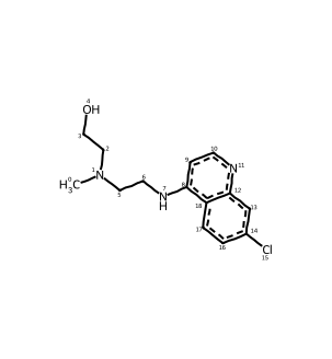 CN(CCO)CCNc1ccnc2cc(Cl)ccc12